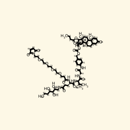 CCCC1O[C@@H]2C[C@H]3[C@@H]4CCC5=CC(=O)C=C[C@]5(C)C4CC[C@]3(C)[C@]2(C(=O)COC(=O)OCc2ccc(NC(=O)CNC(=O)C(NC(=O)[C@@H](CCC(=O)NC[C@H](O)[C@@H](O)[C@H](O)CCO)NC(=O)CCOCCOCCOCCOCCN3C(=O)C=CC3=O)C(C)C)cc2)O1